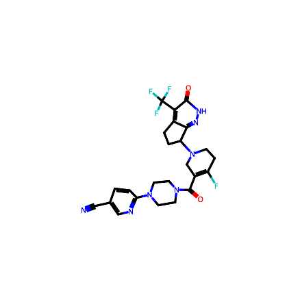 N#Cc1ccc(N2CCN(C(=O)C3=C(F)CCN(C4CCc5c4n[nH]c(=O)c5C(F)(F)F)C3)CC2)nc1